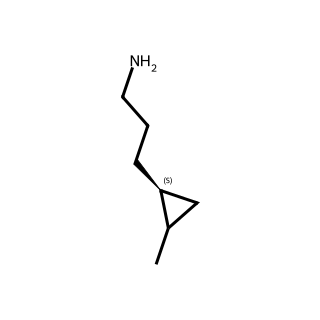 CC1C[C@@H]1CCCN